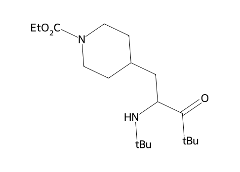 CCOC(=O)N1CCC(CC(NC(C)(C)C)C(=O)C(C)(C)C)CC1